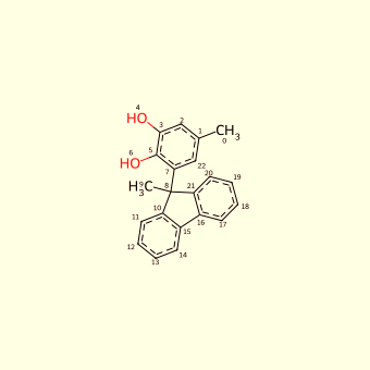 Cc1cc(O)c(O)c(C2(C)c3ccccc3-c3ccccc32)c1